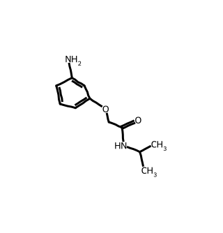 CC(C)NC(=O)COc1cccc(N)c1